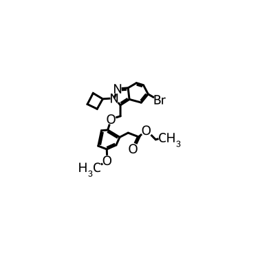 CCOC(=O)Cc1cc(OC)ccc1OCc1c2cc(Br)ccc2nn1C1CCC1